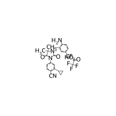 CC1(C)C(=O)N(c2ccc(C#N)c(C3CC3)c2)C(=O)N1Cc1cc(C(F)(F)F)ccc1N.O=C(O)C(F)(F)F